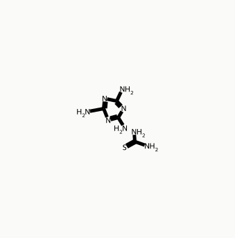 NC(N)=S.Nc1nc(N)nc(N)n1